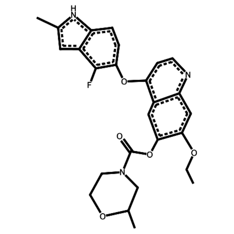 CCOc1cc2nccc(Oc3ccc4[nH]c(C)cc4c3F)c2cc1OC(=O)N1CCOC(C)C1